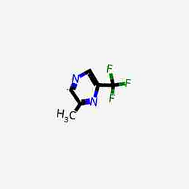 Cc1[c]ncc(C(F)(F)F)n1